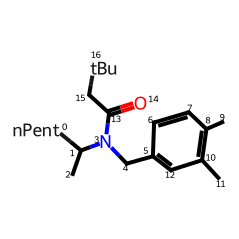 CCCCCC(C)N(Cc1ccc(C)c(C)c1)C(=O)CC(C)(C)C